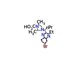 CCCC(c1nc2ccc(Br)cc2nc1CC)N1CC(C)N(C(=O)O)C(C)C1